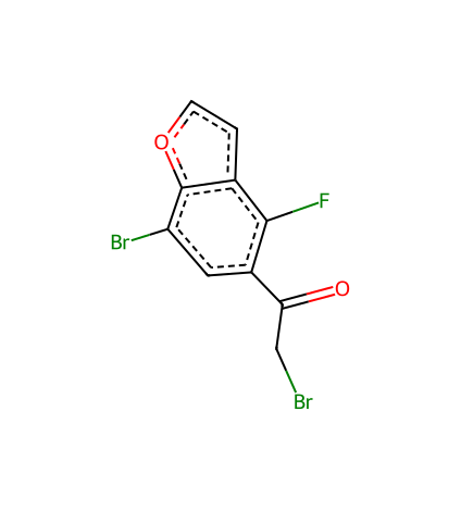 O=C(CBr)c1cc(Br)c2occc2c1F